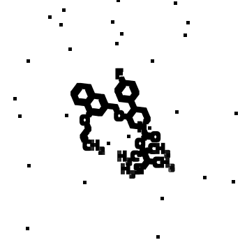 C=CCOc1cc(COC2CN(C(=O)OC(C)(C)C(C)[SiH3])CCC2c2ccc(F)cc2)cc2ccccc12